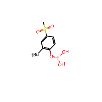 CC(C)(C)c1cc(S(C)(=O)=O)ccc1OB(O)O